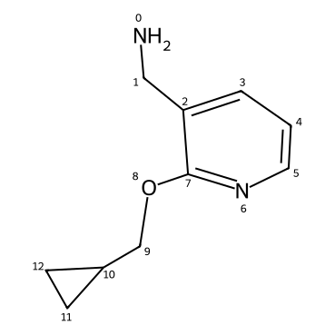 NCc1cccnc1OCC1CC1